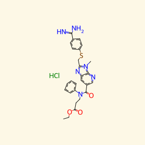 CCOC(=O)CCN(C(=O)c1cnc2c(c1)nc(CSc1ccc(C(=N)N)cc1)n2C)c1ccccc1.Cl